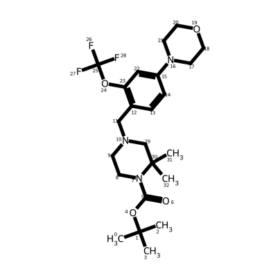 CC(C)(C)OC(=O)N1CCN(Cc2ccc(N3CCOCC3)cc2OC(F)(F)F)CC1(C)C